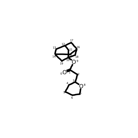 O=C(CC1CCCCO1)OC12CC3CC(CC(C3)C1)C2